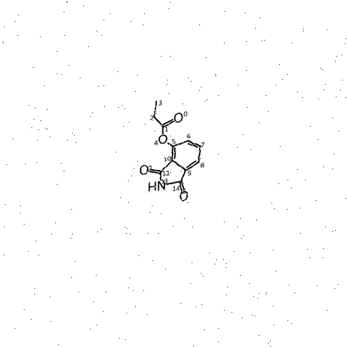 O=C(CI)Oc1cccc2c1C(=O)NC2=O